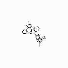 COC1=CN(F)C[N+]2C=C(C[C@@H]3CCCCN3C(=O)c3nc(C)sc3-c3ccccc3)N=C12